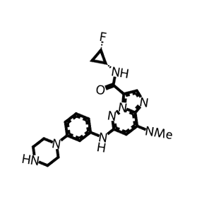 CNc1cc(Nc2cccc(N3CCNCC3)c2)nn2c(C(=O)N[C@@H]3C[C@@H]3F)cnc12